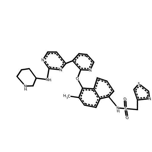 Cc1ccc2c(NS(=O)(=O)Cc3cscn3)cccc2c1Oc1ncccc1-c1ccnc(NC2CCCNC2)n1